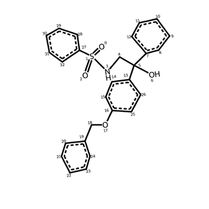 O=S(=O)(NCC(O)(c1ccccc1)c1ccc(OCc2ccccc2)cc1)c1ccccc1